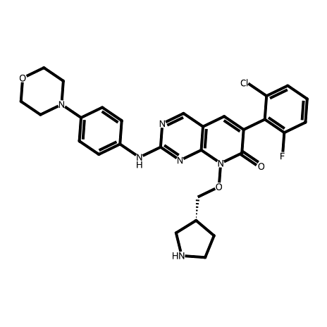 O=c1c(-c2c(F)cccc2Cl)cc2cnc(Nc3ccc(N4CCOCC4)cc3)nc2n1OC[C@@H]1CCNC1